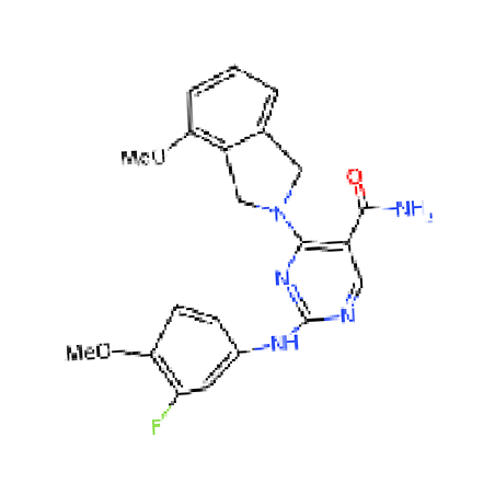 COc1ccc(Nc2ncc(C(N)=O)c(N3Cc4cccc(OC)c4C3)n2)cc1F